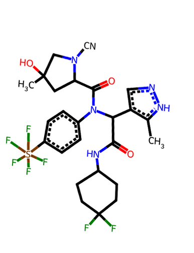 Cc1[nH]ncc1C(C(=O)NC1CCC(F)(F)CC1)N(C(=O)C1CC(C)(O)CN1C#N)c1ccc(S(F)(F)(F)(F)F)cc1